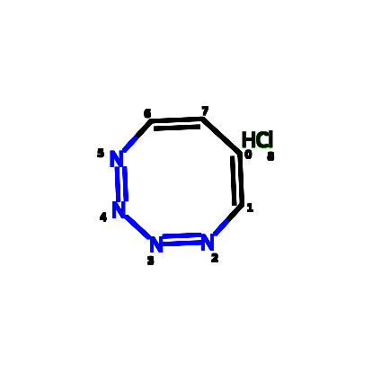 C1=CN=NN=NC=C1.Cl